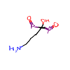 NCCCC(O)(P=O)P=O